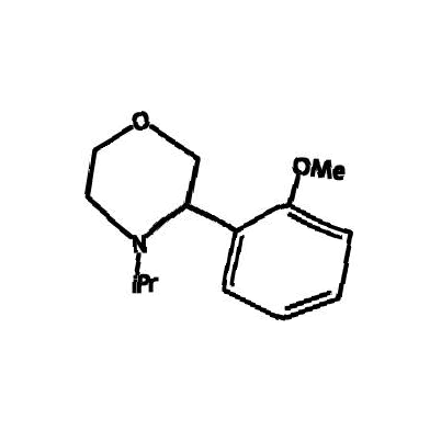 COc1ccccc1C1COCCN1C(C)C